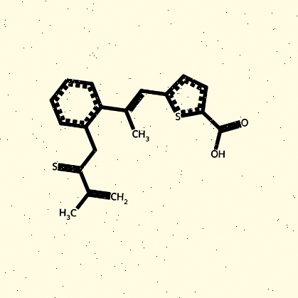 C=C(C)C(=S)Cc1ccccc1/C(C)=C/c1ccc(C(=O)O)s1